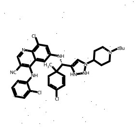 CC1([C@H](Nc2cc(Cl)c3ncc(C#N)c(Nc4ccccc4Cl)c3c2)C2=CN(C3CCN(C(C)(C)C)CC3)NN2)C=CC(Cl)=CC1